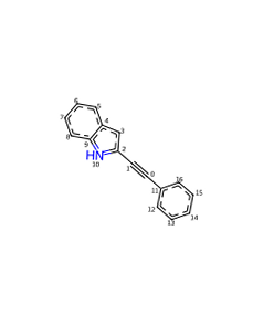 C(#Cc1cc2ccccc2[nH]1)c1ccccc1